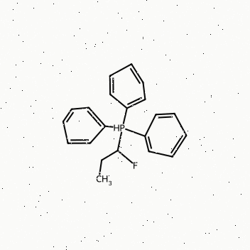 CCC(F)[PH](c1ccccc1)(c1ccccc1)c1ccccc1